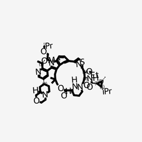 CCO[C@@H]1c2nc(cs2)-c2ccc3c(c2)c(c(-c2cc([C@@H]4CCN5CCOC[C@@H]5C4)cnc2[C@H](C)OC)n3CCOC(C)C)CC(C)(C)COC(=O)[C@@H]2CCCN(N2)C(=O)[C@H]1NC(=O)[C@H]1[C@H](C)[C@@H]1C(C)C